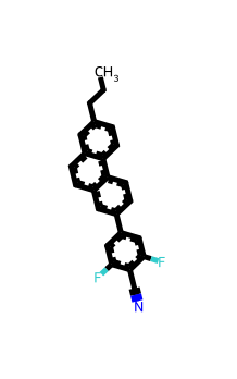 CCCc1ccc2c(ccc3cc(-c4cc(F)c(C#N)c(F)c4)ccc32)c1